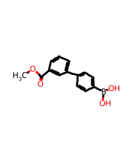 COC(=O)c1cccc(-c2ccc(B(O)O)cc2)c1